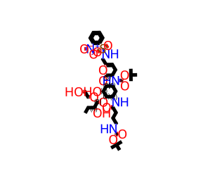 CC[C@@H](O)[C@H](OCCO)O[C@@H]1[C@@H](O)[C@H](O[C@@H]2CCC=C(CNS(=O)(=O)c3ccccc3[N+](=O)[O-])O2)[C@@H](NC(=O)OC(C)(C)C)C[C@H]1NC(=O)CCCNC(=O)OC(C)(C)C